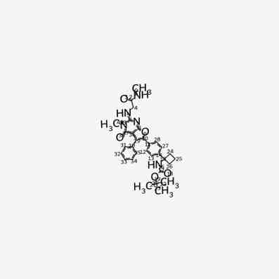 CNC(=O)CNc1nc2oc(-c3ccc(C4(NC(=O)OC(C)(C)C)CCC4)cc3)c(-c3ccccc3)c2c(=O)n1C